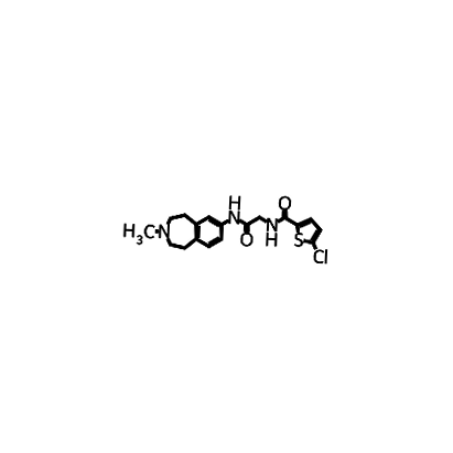 CN1CCc2ccc(NC(=O)CNC(=O)c3ccc(Cl)s3)cc2CC1